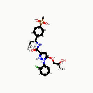 CC(C)(C)[C@H](O)COc1cc(C(=O)N[C@@H](CC(=O)O)c2ccc(S(C)(=O)=O)cc2)nn1-c1ccccc1F